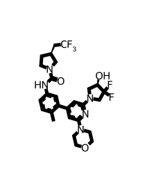 Cc1ccc(NC(=O)N2CC[C@@H](CC(F)(F)F)C2)cc1-c1cc(N2CCOCC2)nc(N2C[C@@H](O)C(F)(F)C2)c1